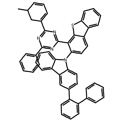 CC1C=CC=C(c2nc(-c3ccccc3)nc(-c3c(-n4c5ccccc5c5cc(-c6ccccc6-c6ccccc6)ccc54)ccc4c3sc3ccccc34)n2)C1